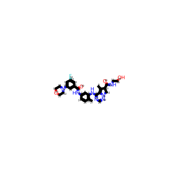 CC1=C2C(Nc3cc(NC(=O)c4cc(F)cc(N5CCOCC5)c4)ccc3C)=NC=NN2CC1C(=O)NCCO